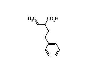 C=CC(CCc1ccccc1)C(=O)O